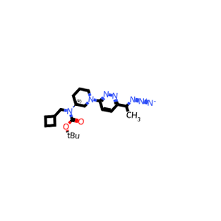 CC(N=[N+]=[N-])c1ccc(N2CCC[C@@H](N(CC3CCC3)C(=O)OC(C)(C)C)C2)nn1